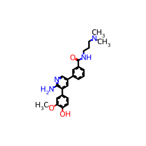 COc1cc(-c2cc(-c3cccc(C(=O)NCCCN(C)C)c3)cnc2N)ccc1O